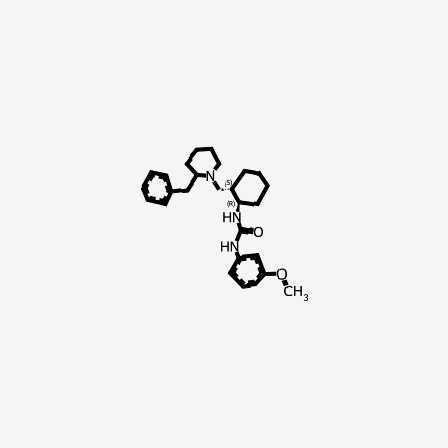 COc1cccc(NC(=O)N[C@@H]2CCCC[C@H]2CN2CCCCC2Cc2ccccc2)c1